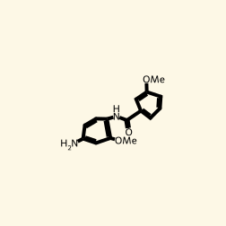 COc1cccc(C(=O)Nc2ccc(N)cc2OC)c1